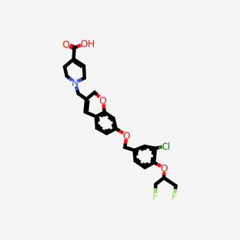 O=C(O)C1=CCN(CC2=Cc3ccc(OCc4ccc(OC(CF)CF)c(Cl)c4)cc3OC2)CC1